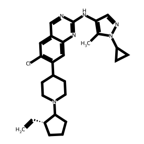 C=C[C@H]1CCCC1N1CCC(c2cc3nc(Nc4cnn(C5CC5)c4C)ncc3cc2Cl)CC1